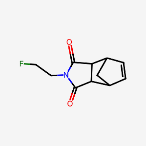 O=C1C2C3C=CC(C3)C2C(=O)N1CCF